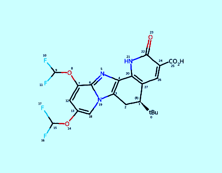 CC(C)(C)[C@H]1Cc2c(nc3c(OC(F)F)cc(OC(F)F)cn23)-c2[nH]c(=O)c(C(=O)O)cc21